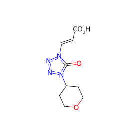 O=C(O)C=Cn1nnn(C2CCOCC2)c1=O